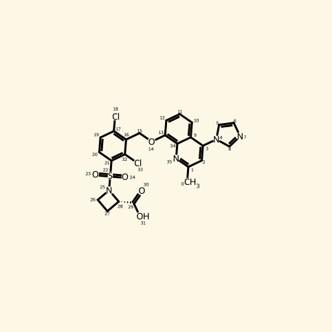 Cc1cc(-n2ccnc2)c2cccc(OCc3c(Cl)ccc(S(=O)(=O)N4CC[C@H]4C(=O)O)c3Cl)c2n1